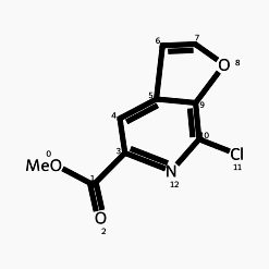 COC(=O)c1cc2ccoc2c(Cl)n1